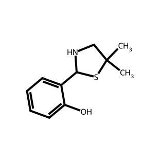 CC1(C)CNC(c2ccccc2O)S1